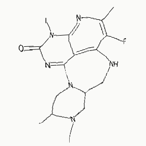 Cc1nc2c3c(nc(=O)n2I)N2CC(C)N(C)CC2CNc3c1F